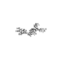 CC(C)(C)n1cc(C(=O)NCC[N+]2(CC3=C(C(=O)O)N4C(=O)[C@@H](NC(=O)/C(=N\O[C@@H](CC(=O)O)C(=O)O)c5csc(N)n5)[C@H]4SC3)CCCC2)c(=O)c2cc(O)c(O)cc21